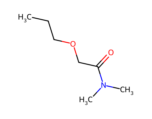 CCCOCC(=O)N(C)C